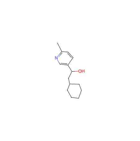 Cc1ccc(C(O)CC2CCCCC2)cn1